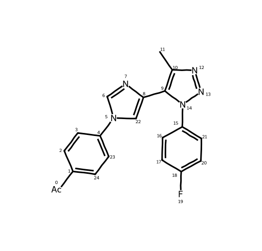 CC(=O)c1ccc(-n2cnc(-c3c(C)nnn3-c3ccc(F)cc3)c2)cc1